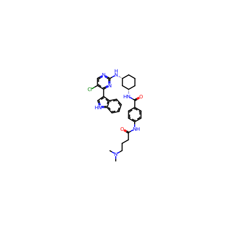 CN(C)CCCC(=O)Nc1ccc(C(=O)N[C@H]2CCC[C@@H](Nc3ncc(Cl)c(-c4c[nH]c5ccccc45)n3)C2)cc1